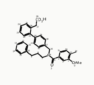 COc1cc(C(=O)N(CCCc2ccccc2)Cc2ccc(-c3ccccc3CC(=O)O)cc2)ccc1C